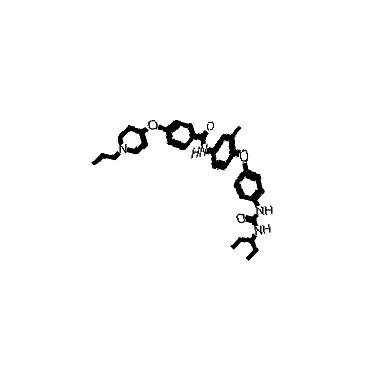 CCCN1CCC(Oc2ccc(C(=O)Nc3ccc(Oc4ccc(NC(=O)NC(CC)CC)cc4)c(C)c3)cc2)CC1